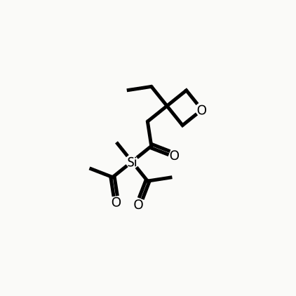 CCC1(CC(=O)[Si](C)(C(C)=O)C(C)=O)COC1